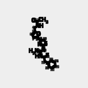 CC(=O)NCc1ccc(-c2csc(N=C(N)NC(F)Cc3ccccc3)n2)o1